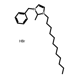 Br.CCCCCCCCCCCCN1C=CN(Cc2ccccc2)C1C